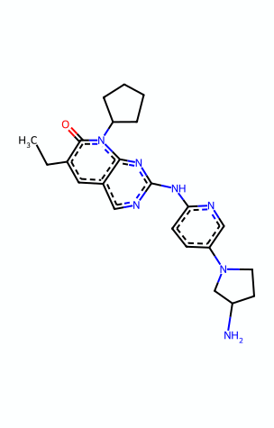 CCc1cc2cnc(Nc3ccc(N4CCC(N)C4)cn3)nc2n(C2CCCC2)c1=O